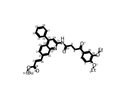 CCOc1ccc(C(=O)CCC(=O)Nc2cc(-c3ccccc3)c3ccc(/C=C/C(=O)OC(C)(C)C)cc3n2)cc1OCC